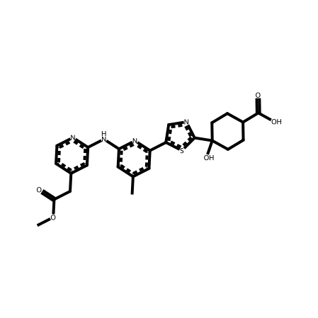 COC(=O)Cc1ccnc(Nc2cc(C)cc(-c3cnc(C4(O)CCC(C(=O)O)CC4)s3)n2)c1